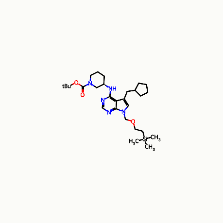 CC(C)(C)OC(=O)N1CCC[C@@H](Nc2ncnc3c2c(CC2CCCC2)cn3COCC[Si](C)(C)C)C1